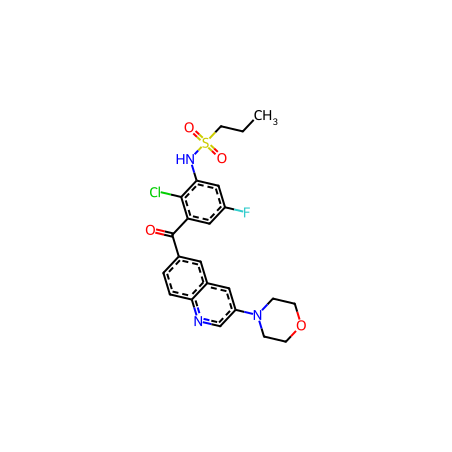 CCCS(=O)(=O)Nc1cc(F)cc(C(=O)c2ccc3ncc(N4CCOCC4)cc3c2)c1Cl